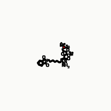 C[Si](C)(C)OCC1OC(c2cn(CCCCCCN3C(=O)c4ccccc4C3=O)c(N)nc2=O)C(O[Si](C)(C)C)C1O[Si](C)(C)C